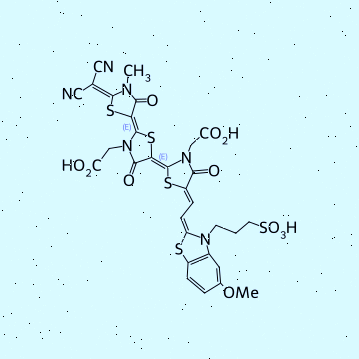 COc1ccc2c(c1)N(CCCS(=O)(=O)O)C(=CC=c1s/c(=c3/s/c(=c4/sc(=C(C#N)C#N)n(C)c4=O)n(CC(=O)O)c3=O)n(CC(=O)O)c1=O)S2